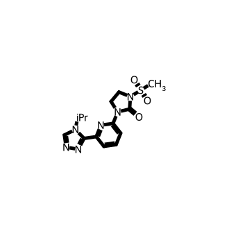 CC(C)n1cnnc1-c1cccc(N2CCN(S(C)(=O)=O)C2=O)n1